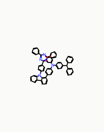 c1ccc(-c2nc(-c3ccccc3)nc(-c3ccc(-n4c5ccccc5c5cccc(-c6ccc(N(c7ccccc7)c7ccc(C(c8ccccc8)c8ccccc8)cc7)cc6)c54)cc3)n2)cc1